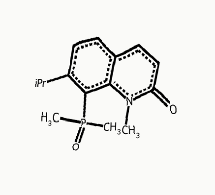 CC(C)c1ccc2ccc(=O)n(C)c2c1P(C)(C)=O